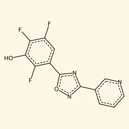 Oc1c(F)c(F)cc(-c2nc(-c3cccnc3)no2)c1F